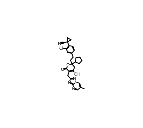 Cc1cnc2nc(CC3=C(O)CC(CCc4ccc(C5(C#N)CC5)c(Cl)c4)(C4CCCC4)OC3=O)nn2c1